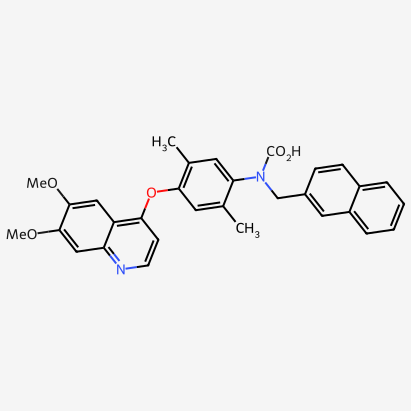 COc1cc2nccc(Oc3cc(C)c(N(Cc4ccc5ccccc5c4)C(=O)O)cc3C)c2cc1OC